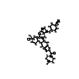 CN1CCN(C(=O)c2cc3cc(N(Cc4cncn4Cc4ccc(C#N)cc4)C(=O)C4=CC=CC(C)(Cl)C4)ccc3s2)CC1